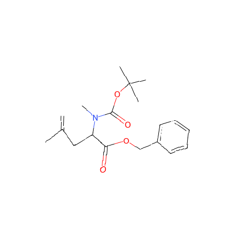 C=C(C)CC(C(=O)OCc1ccccc1)N(C)C(=O)OC(C)(C)C